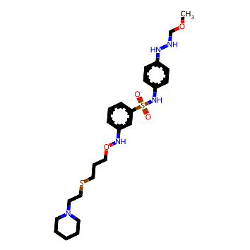 COCNNc1ccc(NS(=O)(=O)c2cccc(NOCCCSCCN3CCCCC3)c2)cc1